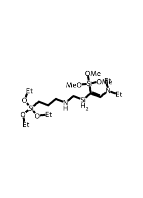 CCO[Si](CCCNC[SiH2]C(=CN(CC)CC)[Si](OC)(OC)OC)(OCC)OCC